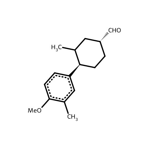 COc1ccc([C@@H]2CC[C@@H](C=O)CC2C)cc1C